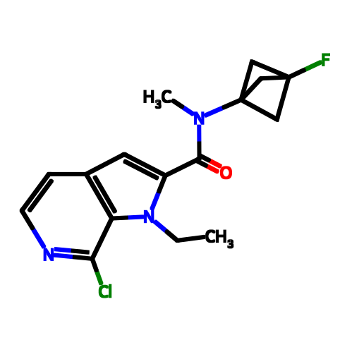 CCn1c(C(=O)N(C)C23CC(F)(C2)C3)cc2ccnc(Cl)c21